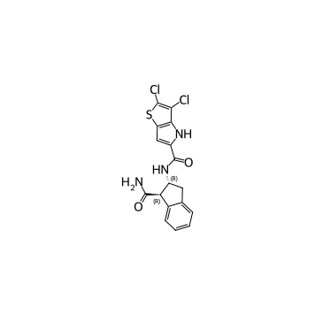 NC(=O)[C@@H]1c2ccccc2C[C@H]1NC(=O)c1cc2sc(Cl)c(Cl)c2[nH]1